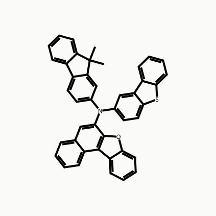 CC1(C)c2ccccc2-c2ccc(N(c3ccc4sc5ccccc5c4c3)c3cc4ccccc4c4c3oc3ccccc34)cc21